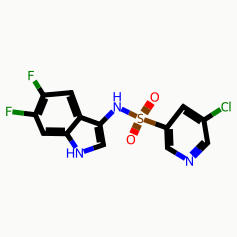 O=S(=O)(Nc1c[nH]c2cc(F)c(F)cc12)c1cncc(Cl)c1